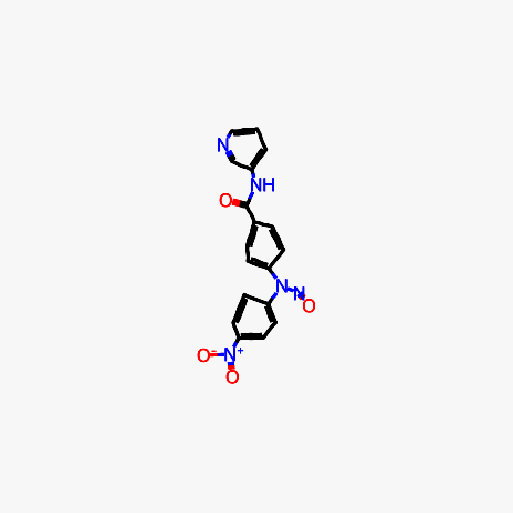 O=NN(c1ccc(C(=O)Nc2cccnc2)cc1)c1ccc([N+](=O)[O-])cc1